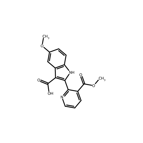 COC(=O)c1cccnc1-c1[nH]c2ccc(OC)cc2c1C(=O)O